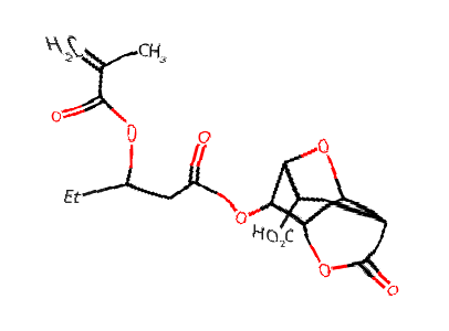 C=C(C)C(=O)OC(CC)CC(=O)OC1C2OC(=O)C3C2OC1C3C(=O)O